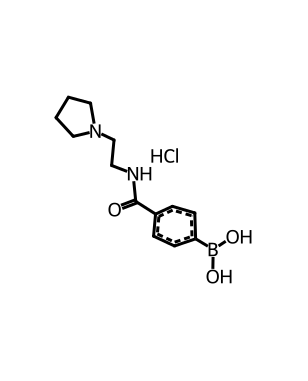 Cl.O=C(NCCN1CCCC1)c1ccc(B(O)O)cc1